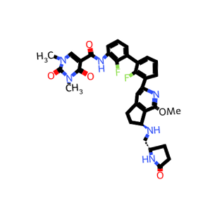 COc1nc(-c2cccc(-c3cccc(NC(=O)c4cn(C)c(=O)n(C)c4=O)c3F)c2F)cc2c1[C@@H](NC[C@@H]1CCC(=O)N1)CC2